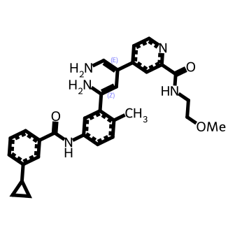 COCCNC(=O)c1cc(C(/C=C(\N)c2cc(NC(=O)c3cccc(C4CC4)c3)ccc2C)=C/N)ccn1